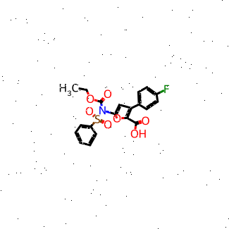 CCOC(=O)N(c1cc(-c2ccc(F)cc2)c(C(=O)O)o1)S(=O)(=O)c1ccccc1